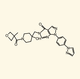 CC1(C(=O)N2CCC(O)(Cn3cnc4c(cnn4-c4ccc(-n5cccn5)cc4)c3=O)CC2)COC1